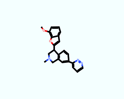 COc1cccc2cc(C3CN(C)Cc4cc(-c5cccnn5)ccc43)oc12